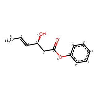 CC=C[C@@H](O)CC(=O)Oc1ccccc1